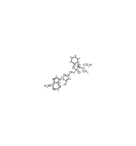 CCN([C@@H](C)C(=O)O)P(=O)(CO[C@H]1C=C(F)[C@H](n2cnc3c(N)ncnc32)O1)Oc1ccccc1